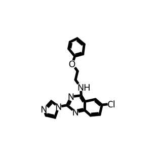 Clc1ccc2nc(-n3ccnc3)nc(NCCOc3ccccc3)c2c1